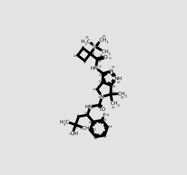 CC(C)(O)CC(NC(=O)N1Cc2c(NC(=O)C3([Si](C)(C)C)CCC3)n[nH]c2C1(C)C)c1ccccc1F